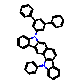 c1ccc(-c2cc(-c3ccccc3)cc(-n3c4ccccc4c4cc5c(ccc6c7ccccc7n(-c7ccccc7)c56)cc43)c2)cc1